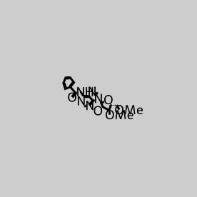 COC[C@H]1O[C@@H](n2cnc3c(NC(=O)c4ccccc4)ncnc32)C(=O)C1OC